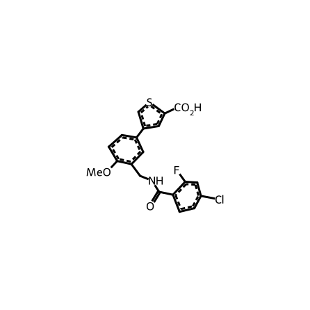 COc1ccc(-c2csc(C(=O)O)c2)cc1CNC(=O)c1ccc(Cl)cc1F